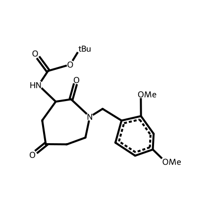 COc1ccc(CN2CCC(=O)CC(NC(=O)OC(C)(C)C)C2=O)c(OC)c1